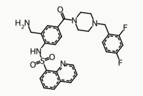 NCc1cc(C(=O)N2CCN(Cc3ccc(F)cc3F)CC2)ccc1NS(=O)(=O)c1cccc2cccnc12